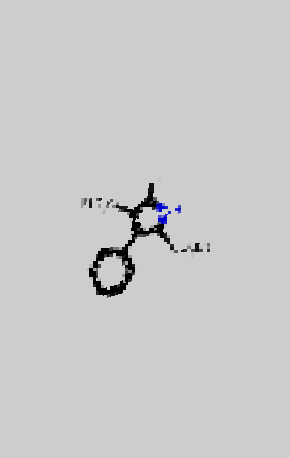 CCOC(=O)c1[nH]c(C(C)C)c(C(=O)OCC)c1-c1ccccc1